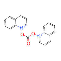 O=C(O[n+]1cccc2ccccc21)O[n+]1cccc2ccccc21